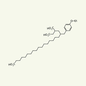 CCOc1ccc(CC(CCCCCCCCCCCCCCCCC(=O)O)CC(CC(=O)O)C(=O)O)cc1